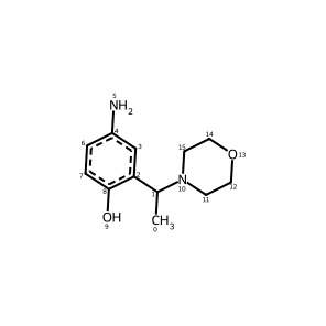 CC(c1cc(N)ccc1O)N1CCOCC1